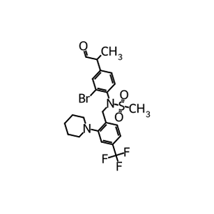 CC(C=O)c1ccc(N(Cc2ccc(C(F)(F)F)cc2N2CCCCC2)S(C)(=O)=O)c(Br)c1